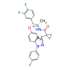 C[C@H](NC(=O)C1(C)CC1)[C@H](Oc1ccc2c(cnn2-c2ccc(F)cc2)c1)c1ccc(F)c(F)c1